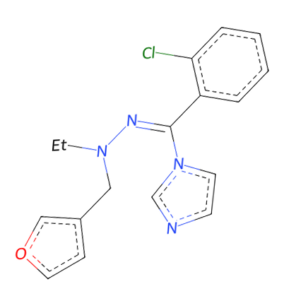 CCN(Cc1ccoc1)N=C(c1ccccc1Cl)n1ccnc1